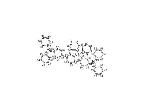 C1=CCCC(C2(c3ccccc3)c3cc(-c4ccc5c(c4)c4ccccc4n5-c4ccccc4)ccc3-c3ccc(N(c4ccccc4)c4ccccc4)cc32)=C1